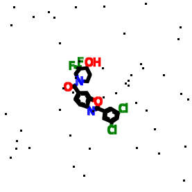 O=C(c1ccc2nc(-c3cc(Cl)cc(Cl)c3)oc2c1)N1CCC(O)C(F)(F)C1